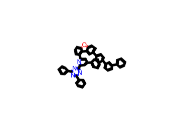 c1ccc(-c2cccc(-c3ccc(-c4ccc5oc6cccc(-c7cc(-c8ccccc8)cc(-c8nc(-c9ccccc9)nc(-c9ccccc9)n8)n7)c6c5c4)cc3)c2)cc1